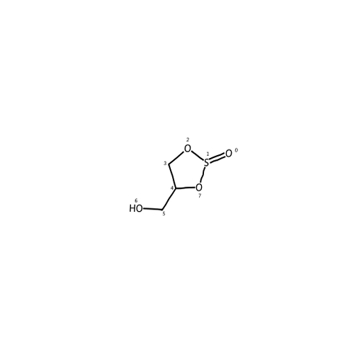 O=S1OCC(CO)O1